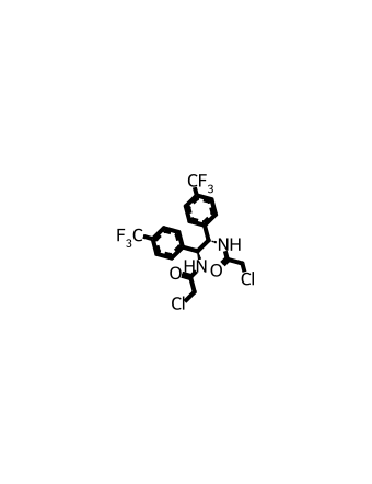 O=C(CCl)N[C@@H](c1ccc(C(F)(F)F)cc1)[C@@H](NC(=O)CCl)c1ccc(C(F)(F)F)cc1